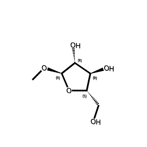 CO[C@@H]1O[C@@H](CO)[C@H](O)[C@H]1O